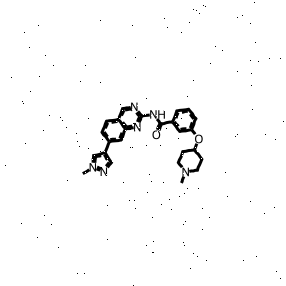 CN1CCC(Oc2cccc(C(=O)Nc3ncc4ccc(-c5cnn(C)c5)cc4n3)c2)CC1